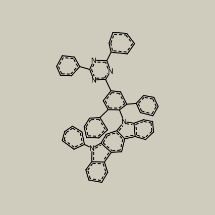 c1ccc(-c2nc(-c3ccccc3)nc(-c3cc(-c4ccccc4)c(-n4c5ccccc5c5cc6c7ccccc7n(-c7ccccc7)c6cc54)c(-c4ccccc4)c3)n2)cc1